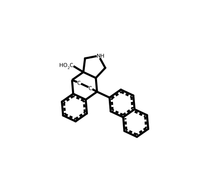 O=C(O)C12CNCC1C1(c3ccc4ccccc4c3)CCC2c2ccccc21